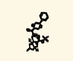 CC1C[C@H]2CN(C(=O)OC(C)(C)C)[C@H](CNC(=O)C3=COC(C4=CCCC=C4)=CO3)[C@H]2C1